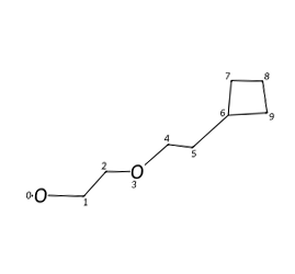 [O]CCOCCC1CCC1